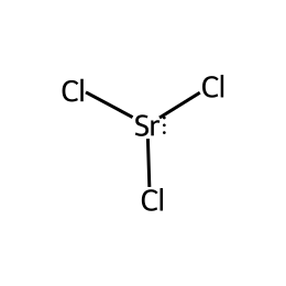 [Cl][Sr]([Cl])[Cl]